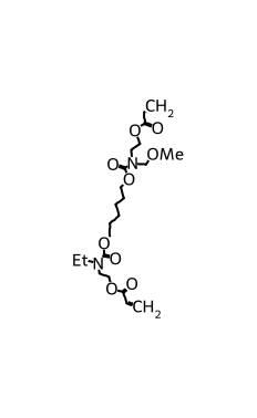 C=CC(=O)OCCN(CC)C(=O)OCCCCCCOC(=O)N(CCOC(=O)C=C)COC